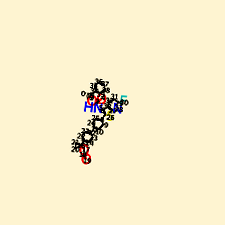 C[C@@H](OC(=O)Nc1c(-c2ccc(-c3ccc(C4(OC=O)CC4)cc3)cc2)sc2nc(F)ccc12)c1ccccc1